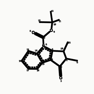 CC1C(=O)c2c(n(C(=O)OC(C)(C)C)c3ccccc23)C1C